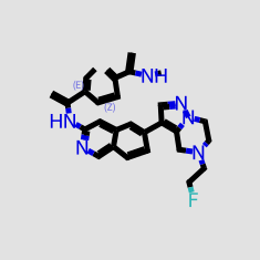 C=C(/C=C\C(=C/C)C(=C)Nc1cc2cc(-c3cnn4c3CN(CCF)CC4)ccc2cn1)C(=C)NC